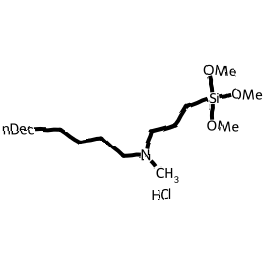 CCCCCCCCCCCCCCN(C)CCC[Si](OC)(OC)OC.Cl